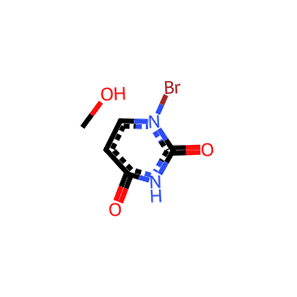 CO.O=c1ccn(Br)c(=O)[nH]1